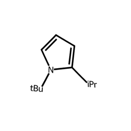 CC(C)c1cccn1C(C)(C)C